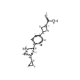 O=C(O)N1CC(c2ccc(-c3nc(C4CC4)n[nH]3)cc2)C1